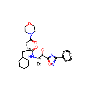 CC[C@H](NC(=O)[C@@H](CC(=O)N1CCOCC1)CC1CCCCC1)C(=O)c1nc(-c2ccccc2)no1